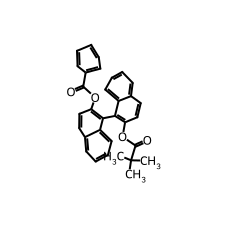 CC(C)(C)C(=O)Oc1ccc2ccccc2c1-c1c(OC(=O)c2ccccc2)ccc2ccccc12